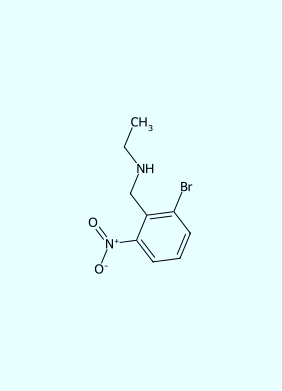 CCNCc1c(Br)cccc1[N+](=O)[O-]